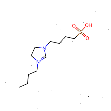 CCCC[N+]1=CN(CCCCS(=O)(=O)O)CC1